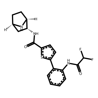 O=C(N[C@@H]1C[C@H]2CC[C@@H]1N2)c1ccc(-c2ccccc2NC(=O)C(F)F)s1